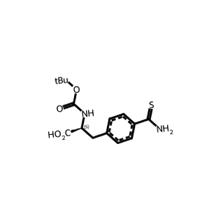 CC(C)(C)OC(=O)N[C@@H](Cc1ccc(C(N)=S)cc1)C(=O)O